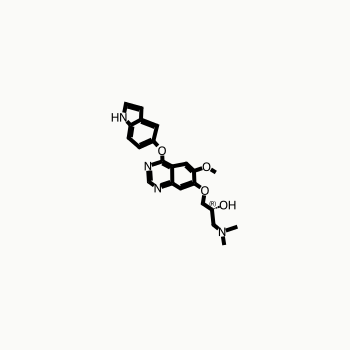 COc1cc2c(Oc3ccc4[nH]ccc4c3)ncnc2cc1OC[C@H](O)CN(C)C